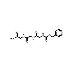 COC(=O)CNC(=O)CNC(=O)CNC(=O)OCc1ccccc1